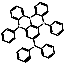 c1cccc(N(c2ccccc2)c2cc3c4c(c2)N(c2ccccc2)c2ccccc2B4c2ccccc2N3c2ccccc2)c#1